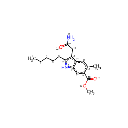 CCCCCc1[nH]c2cc(C(=O)OC)c(C)cc2c1CC(N)=O